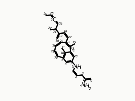 C=C(N)C/C=C\Nc1cc2c(C)c(c1)/C(C)=C(/C=C\C(=C)C(C)C=C=CC)C=C/C=C\2